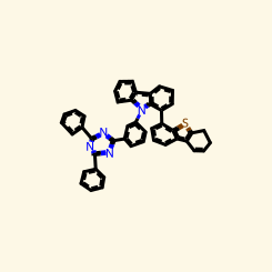 C1=Cc2c(sc3c(-c4cccc5c6ccccc6n(-c6cccc(-c7nc(-c8ccccc8)nc(-c8ccccc8)n7)c6)c45)cccc23)CC1